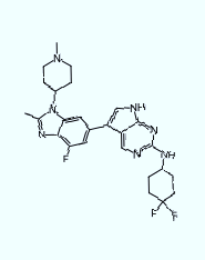 Cc1nc2c(F)cc(-c3c[nH]c4nc(NC5CCC(F)(F)CC5)ncc34)cc2n1C1CCN(C)CC1